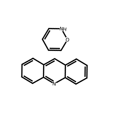 C1=CNOC=C1.c1ccc2nc3ccccc3cc2c1